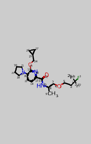 [2H]C([2H])(F)CCOCC(C)NC(=O)c1ccc(N2CCCC2)c(OCC2CC2)n1